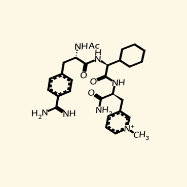 CC(=O)N[C@@H](Cc1ccc(C(=N)N)cc1)C(=O)N[C@H](C(=O)N[C@@H](Cc1ccc[n+](C)c1)C(N)=O)C1CCCCC1